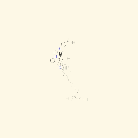 Cc1ccc(/C(=C2/C=CCC(/C=C/c3ccc(C(=O)O)cc3)=[N+]2B(F)F)c2ccccc2OC/C(N)=C/N(N)CCOCCOCCOCCOC2CC[C@@H](O)CC[C@@H](CO)O2)[nH]1